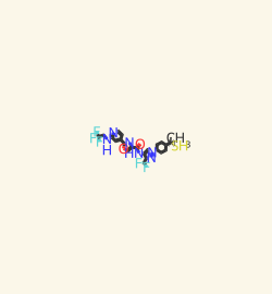 C[C@@H](S)C1CCC(n2cc(NC(=O)c3coc(-c4ccnc(NCC(F)(F)F)c4)n3)c(C(F)F)n2)CC1